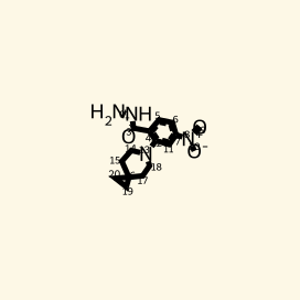 NNC(=O)c1ccc([N+](=O)[O-])cc1N1CCC2(CC1)CC2